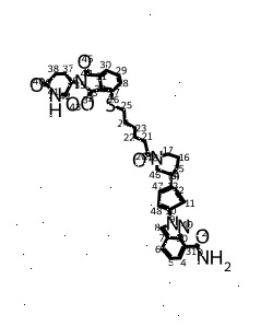 NC(=O)c1cccc2cn(-c3ccc([C@@H]4CCCN(C(=O)CCCCCSc5cccc6c5C(=O)N(C5CCC(=O)NC5=O)C6=O)C4)cc3)nc12